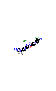 CC1CNCCN1CC1CCN(c2ccc(NC(=O)C3CCN(c4ccc(C#N)c(C(F)(F)F)c4)CC3)nc2)CC1.Cl